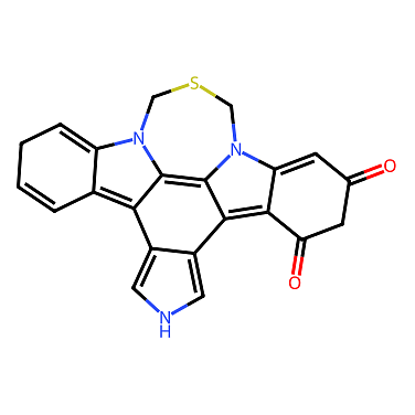 O=C1C=c2c(c3c4c[nH]cc4c4c5c(n6c4c3n2CSC6)=CCC=C5)C(=O)C1